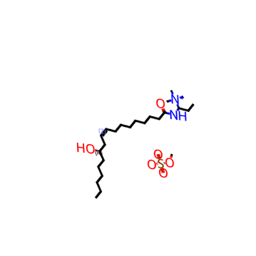 CCCCCC[C@@H](O)C/C=C\CCCCCCCC(=O)NC(CC)[N+](C)(C)C.COS(=O)(=O)[O-]